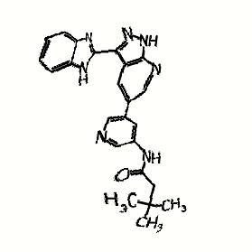 CC(C)(C)CC(=O)Nc1cncc(-c2cnc3[nH]nc(-c4nc5ccccc5[nH]4)c3c2)c1